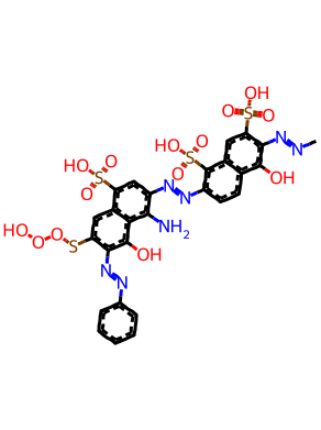 CN=Nc1c(S(=O)(=O)O)cc2c(S(=O)(=O)O)c(N=Nc3cc(S(=O)(=O)O)c4cc(SOOO)c(N=Nc5ccccc5)c(O)c4c3N)ccc2c1O